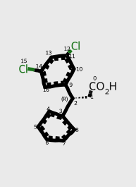 O=C(O)C[C@H](c1ccccc1)c1cc(Cl)cc(Cl)c1